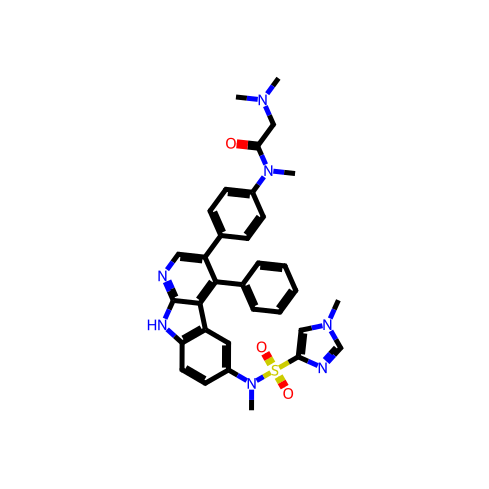 CN(C)CC(=O)N(C)c1ccc(-c2cnc3[nH]c4ccc(N(C)S(=O)(=O)c5cn(C)cn5)cc4c3c2-c2ccccc2)cc1